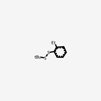 C[CH]c1ccccc1SSC(C)(C)C